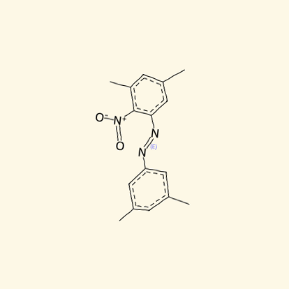 Cc1cc(C)cc(/N=N/c2cc(C)cc(C)c2[N+](=O)[O-])c1